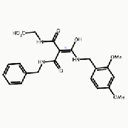 COc1ccc(CN/C(O)=C(/C(=O)NCC(=O)O)C(=O)NCc2ccccc2)c(OC)c1